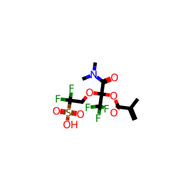 C=C(C)C(=O)OC(OCC(F)(F)S(=O)(=O)O)(C(=O)N(C)C)C(F)(F)F